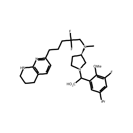 COc1c(F)cc(C(C)C)cc1C(C(=O)O)N1CC[C@@H](N(C)CC(F)(F)CCCc2ccc3c(n2)NCCC3)C1